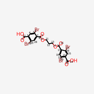 O=C(O)c1cc(Br)c(C(=O)OCCCOC(=O)c2cc(Br)c(C(=O)O)cc2Br)cc1Br